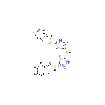 c1ccc(CSc2nnc(Sc3nnc(SCc4ccccc4)s3)s2)cc1